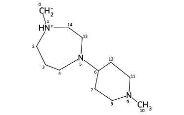 [CH2-][NH+]1CCCN(C2CCN(C)CC2)CC1